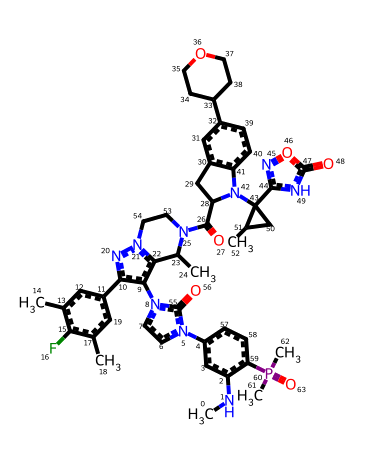 CNc1cc(-n2ccn(-c3c(-c4cc(C)c(F)c(C)c4)nn4c3C(C)N(C(=O)C3Cc5cc(C6CCOCC6)ccc5N3C3(c5noc(=O)[nH]5)CC3C)CC4)c2=O)ccc1P(C)(C)=O